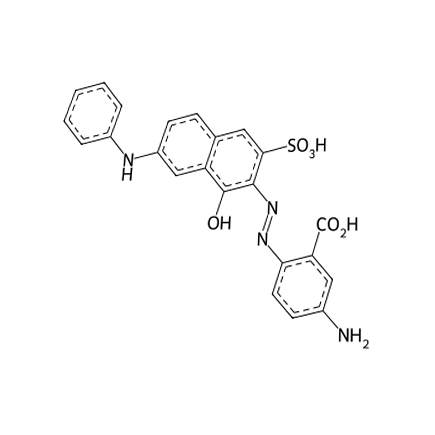 Nc1ccc(N=Nc2c(S(=O)(=O)O)cc3ccc(Nc4ccccc4)cc3c2O)c(C(=O)O)c1